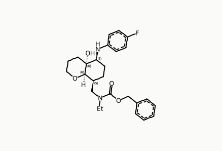 CCN(C[C@@H]1CC[C@H](Nc2ccc(F)cc2)[C@]2(O)CCCO[C@H]12)C(=O)OCc1ccccc1